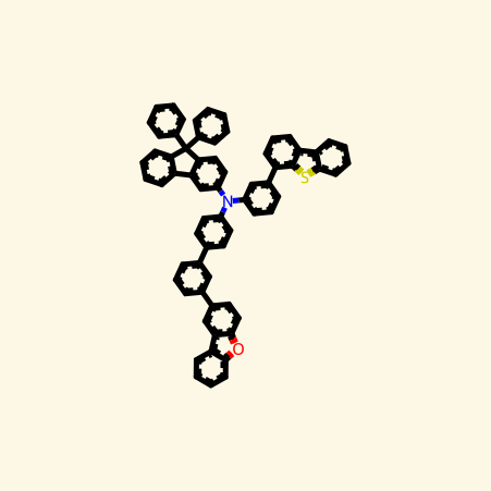 c1ccc(C2(c3ccccc3)c3ccccc3-c3cc(N(c4ccc(-c5cccc(-c6ccc7oc8ccccc8c7c6)c5)cc4)c4cccc(-c5cccc6c5sc5ccccc56)c4)ccc32)cc1